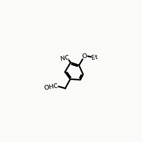 CCOc1ccc(CC=O)cc1C#N